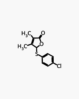 CC1=C(C)C(Sc2ccc(Cl)cc2)OC1=O